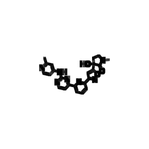 Cc1cc(Nc2nccc(-c3cccc(-c4cc([C@]5(O)CCN(C)C5=O)on4)n3)n2)ccn1